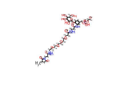 CC1CC(=O)N(CCC(=O)NCCOCCOCCOCCOCCC(=O)NCCC(=O)Nc2cc(COP(=O)(O)OCC=O)ccc2O[C@@H]2O[C@H](CO)[C@H](O)[C@H](O)[C@H]2O)C1=O